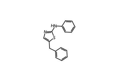 c1ccc(Cc2cnc(Nc3ccccc3)s2)cc1